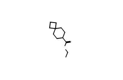 CCOC(=O)C1CCC2(CCC2)CC1